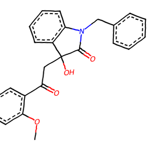 COc1ccccc1C(=O)CC1(O)C(=O)N(Cc2ccccc2)c2ccccc21